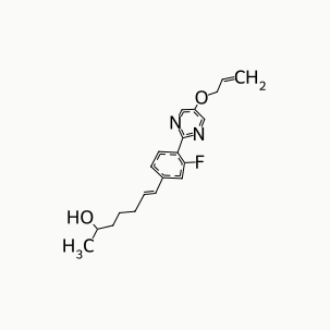 C=CCOc1cnc(-c2ccc(C=CCCCC(C)O)cc2F)nc1